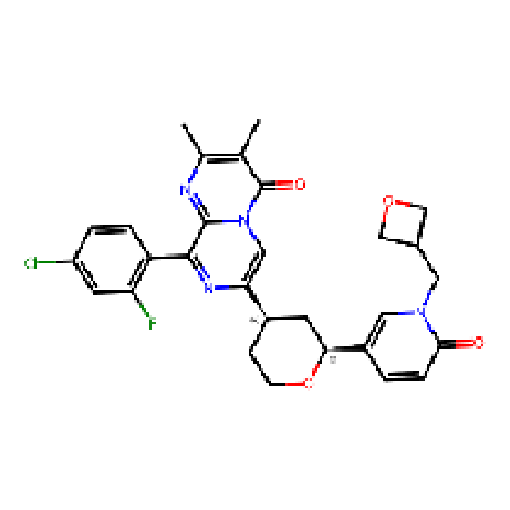 Cc1nc2c(-c3ccc(Cl)cc3F)nc([C@@H]3CCO[C@H](c4ccc(=O)n(CC5COC5)c4)C3)cn2c(=O)c1C